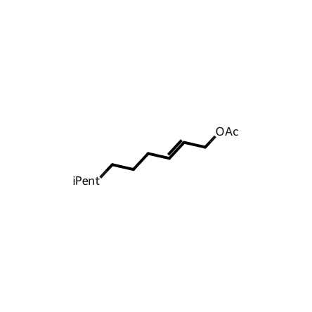 CCCC(C)CCCC=CCOC(C)=O